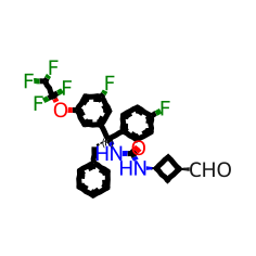 O=C[C@H]1C[C@@H](NC(=O)N[C@](Cc2ccccc2)(c2ccc(F)cc2)c2cc(F)cc(OC(F)(F)C(F)F)c2)C1